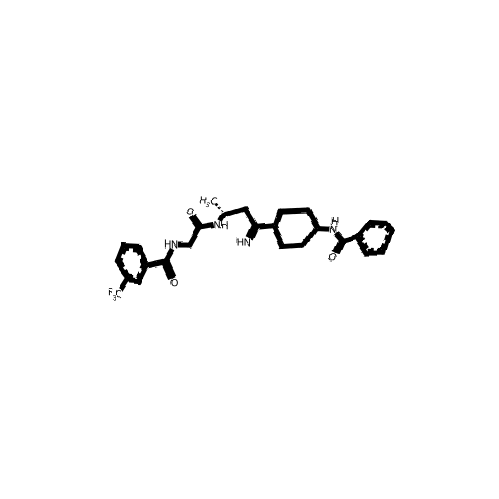 C[C@H](CC(=N)C1CCC(NC(=O)c2ccccc2)CC1)NC(=O)CNC(=O)c1cccc(C(F)(F)F)c1